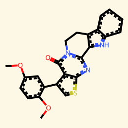 COc1ccc(OC)c(-c2csc3nc4n(c(=O)c23)CCc2c-4[nH]c3ccccc23)c1